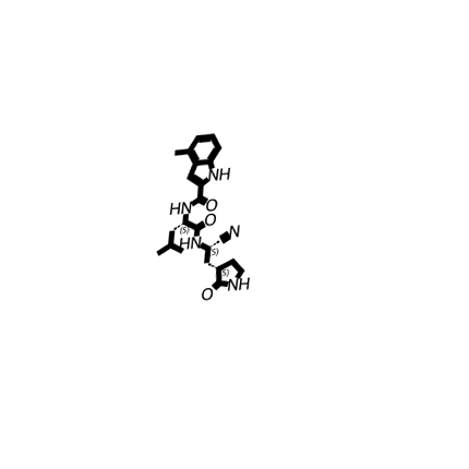 Cc1cccc2[nH]c(C(=O)N[C@@H](CC(C)C)C(=O)N[C@H](C#N)C[C@@H]3CCNC3=O)cc12